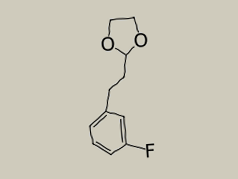 Fc1cccc(CCC2OCCO2)c1